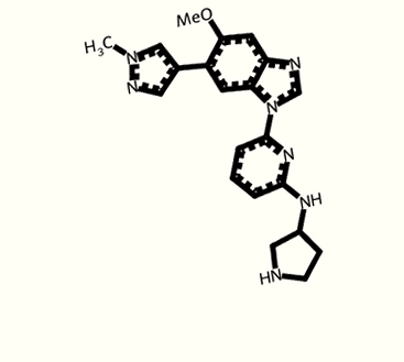 COc1cc2ncn(-c3cccc(NC4CCNC4)n3)c2cc1-c1cnn(C)c1